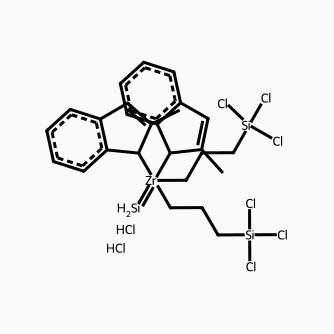 CC1=Cc2ccccc2[CH]1[Zr](=[SiH2])([CH2]CC[Si](Cl)(Cl)Cl)([CH2]CC[Si](Cl)(Cl)Cl)[CH]1C(C)=Cc2ccccc21.Cl.Cl